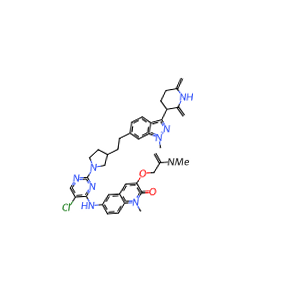 C=C(COc1cc2cc(Nc3nc(N4CCC(CCc5ccc6c(C7CCC(=C)NC7=C)nn(C)c6c5)C4)ncc3Cl)ccc2n(C)c1=O)NC